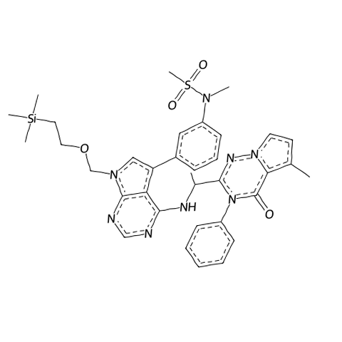 Cc1ccn2nc(C(C)Nc3ncnc4c3c(-c3cccc(N(C)S(C)(=O)=O)c3)cn4COCC[Si](C)(C)C)n(-c3ccccc3)c(=O)c12